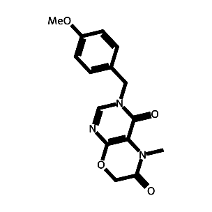 COc1ccc(Cn2cnc3c(c2=O)N(C)C(=O)CO3)cc1